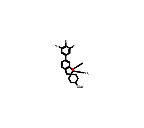 COC1CCC2(CC1)Cc1ccc(-c3cc(Cl)c(F)c(C#N)c3)cc1C21N=C(C)C(N)=N1